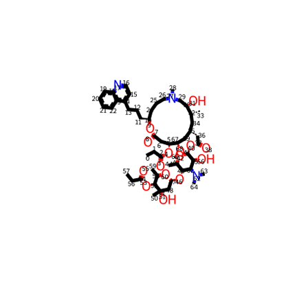 CCC(=O)O[C@@H]1CC(=O)O[C@@H](CCCc2ccnc3ccccc23)CCCN(C)C[C@H](O)[C@H](C)C[C@H](CC=O)[C@H](O[C@@H]2OC(C)[C@@H](O[C@H]3CC(C)(O)[C@@H](OC(=O)CC)C(C)O3)C(N(C)C)C2O)[C@H]1OC